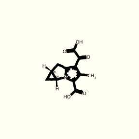 Cc1c(C(=O)C(=O)O)c2n(c1C(=O)O)[C@@H]1C[C@@H]1C2